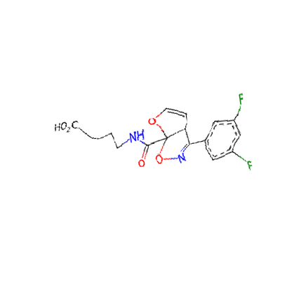 O=C(O)CCCNC(=O)C12OC=CC1C(c1cc(F)cc(F)c1)=NO2